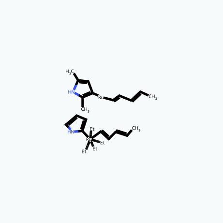 CC=CC=[CH][Ru]([CH2]C)([CH2]C)([CH2]C)([CH2]C)[c]1ccc[nH]1.CC=CC=[CH][Ru][c]1cc(C)[nH]c1C